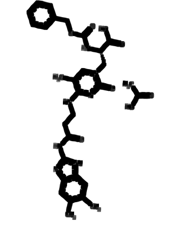 CC(=O)O.Cc1cc2nc(NC(=O)CCNc3nc(=O)n(C[C@H](NC(=O)OCc4ccccc4)C(=O)O)cc3C)[nH]c2cc1C